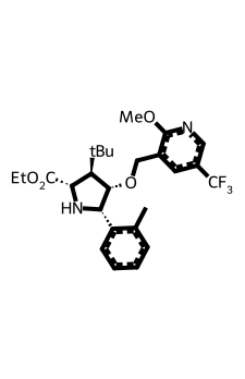 CCOC(=O)[C@H]1N[C@@H](c2ccccc2C)[C@@H](OCc2cc(C(F)(F)F)cnc2OC)[C@@H]1C(C)(C)C